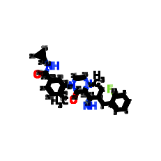 CCC(Cc1ccccc1F)C(=N)c1nccn(-c2cc(C(=O)NC3CC3)ccc2C)c1=O